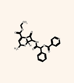 CC1C=C(C(=O)OCC(Cl)(Cl)Cl)N2C(=O)C(NC(=O)C(OC(=O)c3ccncc3)c3ccccc3)[C@@H]2S1